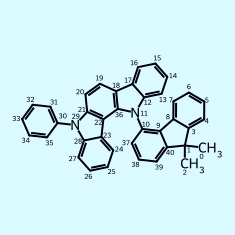 CC1(C)c2ccccc2-c2c(-n3c4ccccc4c4ccc5c(c6ccccc6n5-c5ccccc5)c43)cccc21